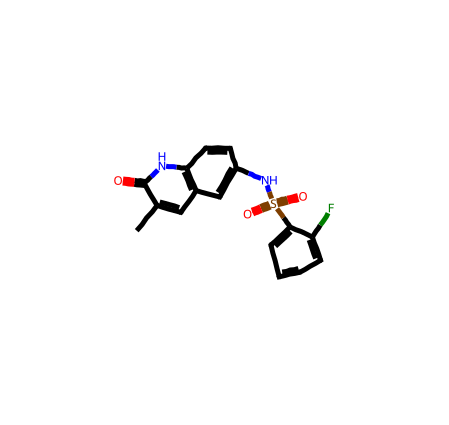 Cc1cc2cc(NS(=O)(=O)c3ccccc3F)ccc2[nH]c1=O